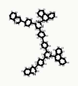 c1ccc2ncc(-c3ccc(-c4cc(-c5ccc(-c6ccc(-c7cc(-c8ccc(-c9cnc%10ccccc%10c9)cc8)nc(-c8cc9ccccc9c9ccccc89)n7)cc6)cc5)nc(-c5cc6ccccc6c6ccccc56)n4)cc3)cc2c1